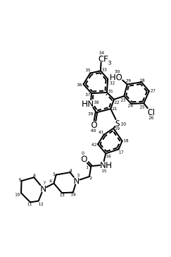 O=C(CN1CCC(N2CCCCC2)CC1)Nc1ccc(Sc2c(-c3cc(Cl)ccc3O)c3cc(C(F)(F)F)ccc3[nH]c2=O)cc1